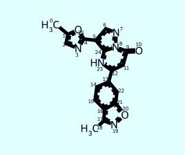 Cc1cnc(-c2cnn3c(=O)cc(-c4ccc5c(C)noc5c4)[nH]c23)o1